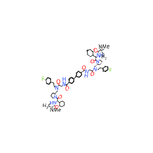 CN[C@@H](C)C(=O)N[C@H](C(=O)N1CCC[C@H]1CN(CCc1ccc(F)cc1)C(=O)CNC(=O)c1ccc(-c2ccc(C(=O)NCC(=O)N(CCc3ccc(F)cc3)C[C@@H]3CCCN3C(=O)[C@@H](NC(=O)[C@H](C)NC)C3CCCCC3)cc2)cc1)C1CCCCC1